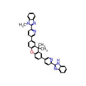 Cn1c(-c2ccc(-c3ccc4c(c3)C(C)(C)c3cc(-c5ccc(-c6nc7ccccc7[nH]6)nc5)ccc3O4)cn2)nc2ccccc21